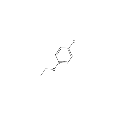 CCO[n+]1ccc(Cl)cc1